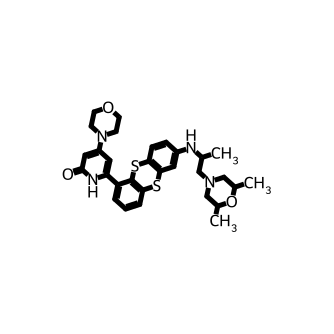 CC(CN1CC(C)OC(C)C1)Nc1ccc2c(c1)Sc1cccc(-c3cc(N4CCOCC4)cc(=O)[nH]3)c1S2